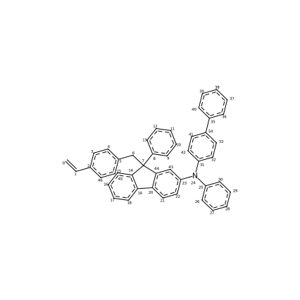 C=Cc1ccc(CC2(c3ccccc3)c3ccccc3-c3ccc(N(c4ccccc4)c4ccc(-c5ccccc5)cc4)cc32)cc1